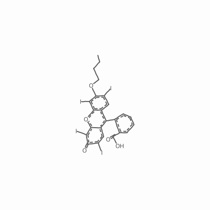 CCCCOc1c(I)cc2c(-c3ccccc3C(=O)O)c3cc(I)c(=O)c(I)c-3oc2c1I